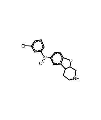 [O-][S+](c1cccc(Cl)c1)c1ccc2c(c1)C1CCNCC1O2